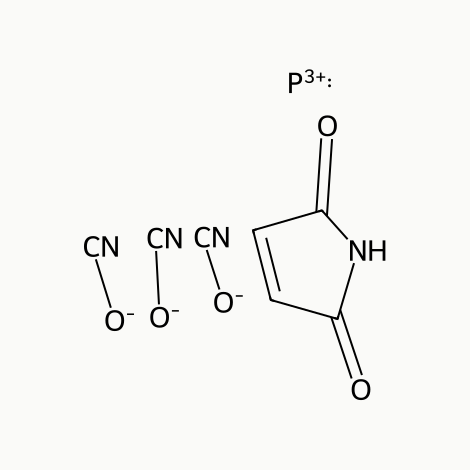 N#C[O-].N#C[O-].N#C[O-].O=C1C=CC(=O)N1.[P+3]